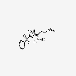 CCCCCCCCCCCCC(=CC=C(C(=O)O)S(=O)(=O)c1ccccc1)N(CC)CC